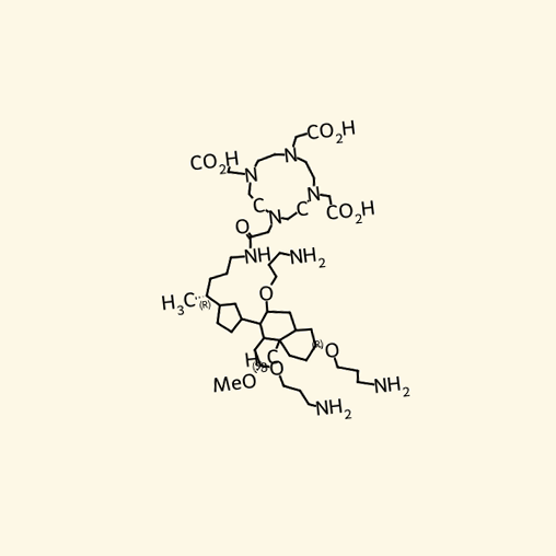 CO[C@H](CC1C(C2CCC([C@H](C)CCCNC(=O)CN3CCN(CC(=O)O)CCN(CC(=O)O)CCN(CC(=O)O)CC3)C2)C(OCCCN)CC2C[C@H](OCCCN)CCC21C)OCCCN